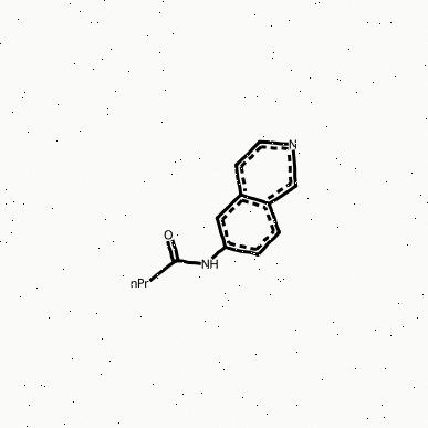 CCCC(=O)Nc1ccc2cnccc2c1